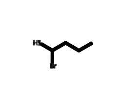 CCCC(S)Br